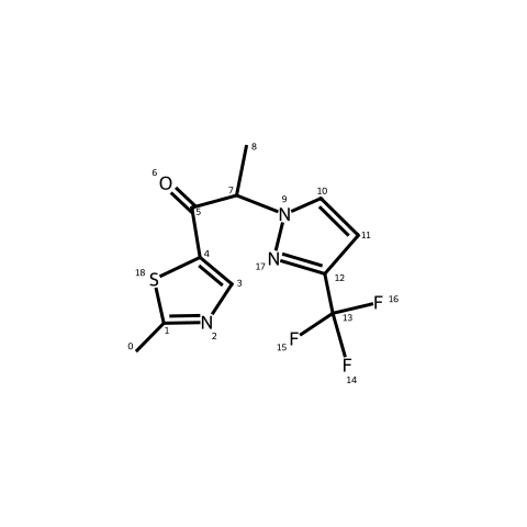 Cc1ncc(C(=O)C(C)n2ccc(C(F)(F)F)n2)s1